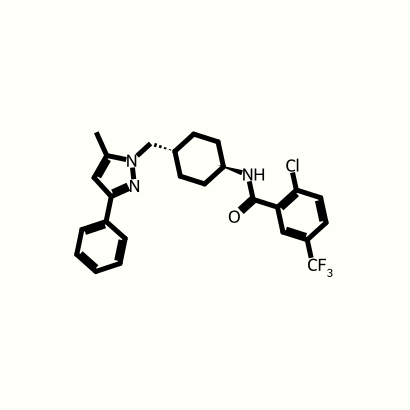 Cc1cc(-c2ccccc2)nn1C[C@H]1CC[C@H](NC(=O)c2cc(C(F)(F)F)ccc2Cl)CC1